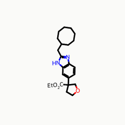 CCOC(=O)C1(c2ccc3nc(CC4CCCCCCC4)[nH]c3c2)CCOC1